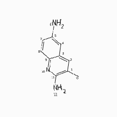 Cc1cc2cc(N)ccc2nc1N